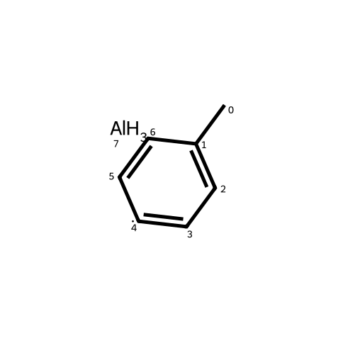 Cc1cc[c]cc1.[AlH3]